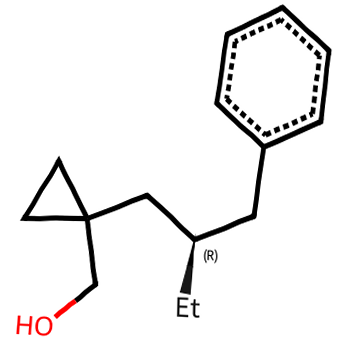 CC[C@H](Cc1ccccc1)CC1(CO)CC1